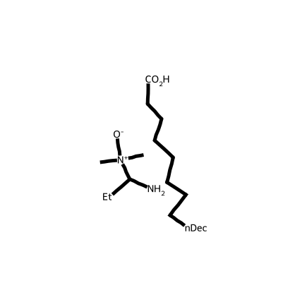 CCC(N)[N+](C)(C)[O-].CCCCCCCCCCCCCCCCCC(=O)O